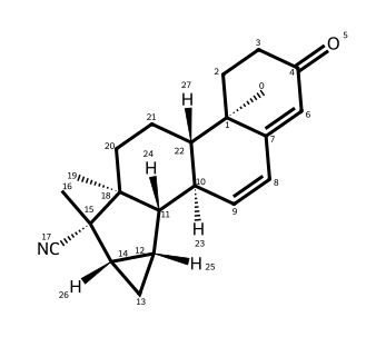 C[C@]12CCC(=O)C=C1C=C[C@H]1[C@@H]3[C@@H]4C[C@@H]4[C@](C)(C#N)[C@@]3(C)CC[C@@H]12